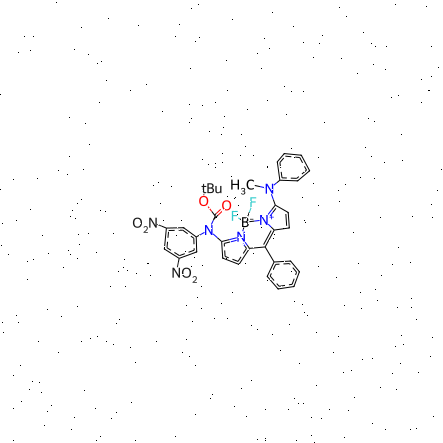 CN(C1=[N+]2C(=C(c3ccccc3)c3ccc(N(C(=O)OC(C)(C)C)c4cc([N+](=O)[O-])cc([N+](=O)[O-])c4)n3[B-]2(F)F)C=C1)c1ccccc1